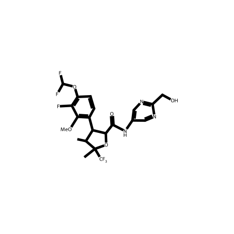 COc1c(C2C(C(=O)Nc3cnc(CO)nc3)OC(C)(C(F)(F)F)C2C)ccc(OC(F)F)c1F